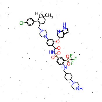 CC1(C)CCC(CN2CCN(c3ccc(C(=O)NS(=O)(=O)c4ccc(NCC5CCC(N6CCNCC6)CC5)c(S(=O)(=O)C(F)(F)F)c4)c(Oc4cnc5[nH]ccc5c4)c3)CC2)=C(c2ccc(Cl)cc2)C1